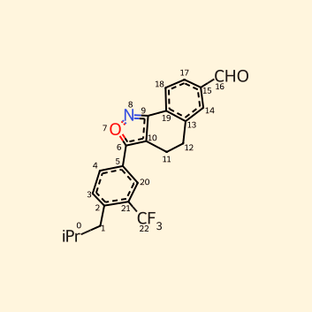 CC(C)Cc1ccc(-c2onc3c2CCc2cc(C=O)ccc2-3)cc1C(F)(F)F